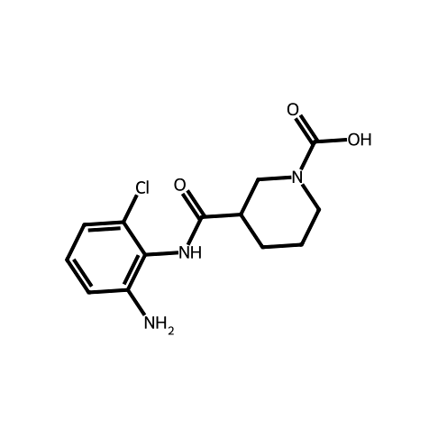 Nc1cccc(Cl)c1NC(=O)C1CCCN(C(=O)O)C1